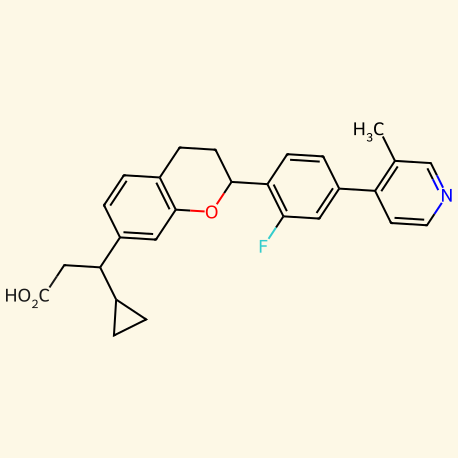 Cc1cnccc1-c1ccc(C2CCc3ccc(C(CC(=O)O)C4CC4)cc3O2)c(F)c1